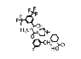 Cc1cc(F)ccc1[C@H]1CN(C[C@H]2CC[C@H](C(=O)O)CC2)CCN1C(=O)N(C)C(C)c1cc(C(F)(F)F)cc(C(F)(F)F)c1